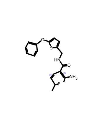 C/C(N)=C(\C=C/C(C)F)C(=O)NCc1ccc(Oc2ccccc2)s1